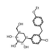 CCOc1ccc(Cc2cc([C@@H]3C[C@H](CO)[C@@H](O)[C@H](O)[C@H]3O)ccc2Cl)cc1